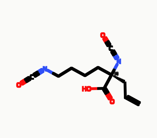 C=CC[C@](CCCCN=C=O)(N=C=O)C(=O)O